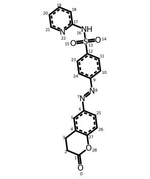 O=C1CCc2cc(/N=N/c3ccc(S(=O)(=O)Nc4ccccn4)cc3)ccc2O1